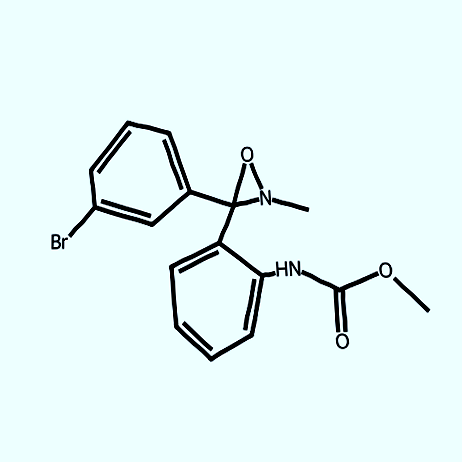 COC(=O)Nc1ccccc1C1(c2cccc(Br)c2)ON1C